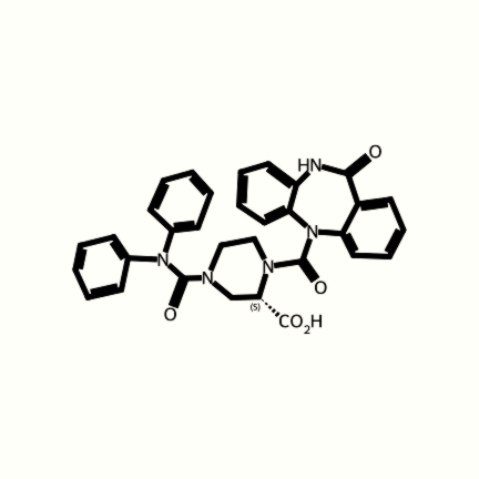 O=C1Nc2ccccc2N(C(=O)N2CCN(C(=O)N(c3ccccc3)c3ccccc3)C[C@H]2C(=O)O)c2ccccc21